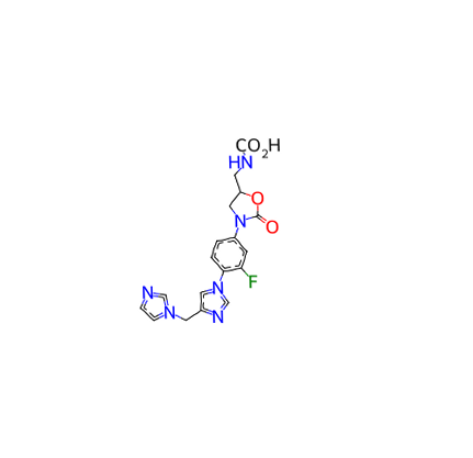 O=C(O)NCC1CN(c2ccc(-n3cnc(Cn4ccnc4)c3)c(F)c2)C(=O)O1